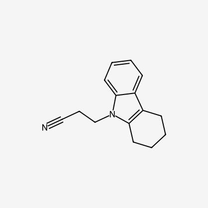 N#CCCn1c2c(c3ccccc31)CCCC2